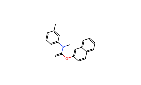 C=C(Oc1ccc2ccccc2c1)N(C)c1cccc(C)c1